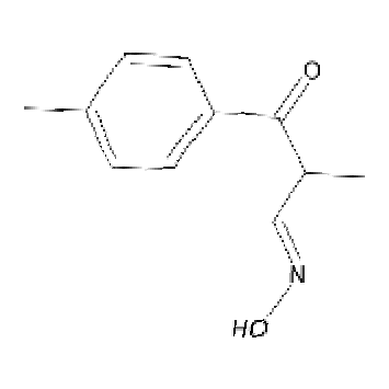 Cc1ccc(C(=O)C(C)C=NO)cc1